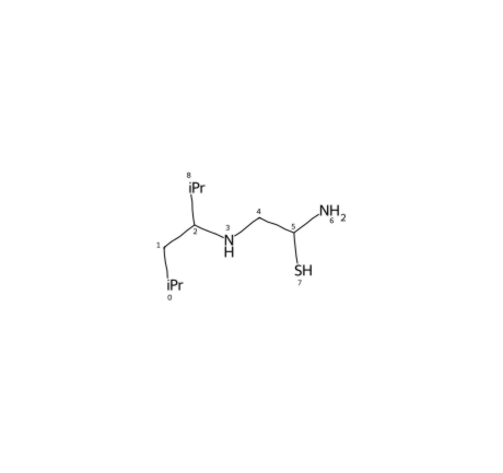 CC(C)CC(NCC(N)S)C(C)C